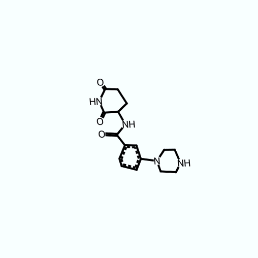 O=C1CCC(NC(=O)c2cccc(N3CCNCC3)c2)C(=O)N1